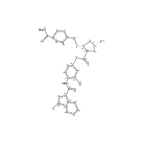 COC(=O)c1ccc(OC[C@@H]2C[C@H](F)CN2C(=O)Cc2ccc(NC(=O)c3cn(C)c4ccccc34)c(Cl)c2)nc1